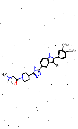 COc1ccc(-c2[nH]c3ccc(-c4nnc(C5CCN(C(=O)CN(C)C)CC5)[nH]4)cc3c2C(C)C)cc1OC